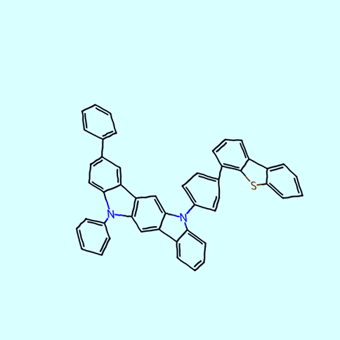 c1ccc(-c2ccc3c(c2)c2cc4c(cc2n3-c2ccccc2)c2ccccc2n4-c2ccc(-c3cccc4c3sc3ccccc34)cc2)cc1